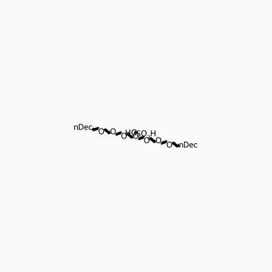 CCCCCCCCCCCCOCCOCCOCCOCCOCCOCCOCCCCCCCCCCCC.O=S(=O)(O)O